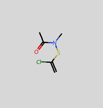 C=C(Cl)SN(C)C(C)=O